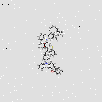 C=C1/C=C\C=C/Cc2cc(N(c3ccc4c(c3)Sc3cccc5c3c-4cc3ccc(N(c4ccccc4)c4ccc6c(c4)oc4ccccc46)cc35)c3ccccc3-c3ccccc3)ccc2C1(C)C